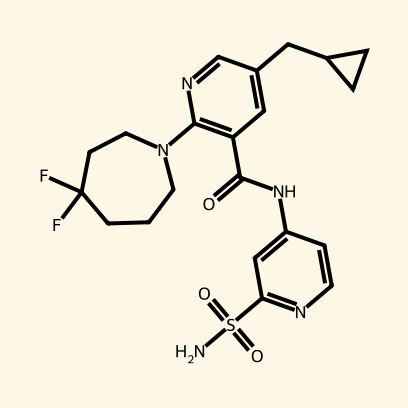 NS(=O)(=O)c1cc(NC(=O)c2cc(CC3CC3)cnc2N2CCCC(F)(F)CC2)ccn1